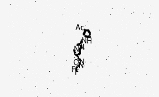 CC(=O)c1cccc(NCc2cn3ccc(-c4nnc(C(F)F)o4)cc3n2)c1